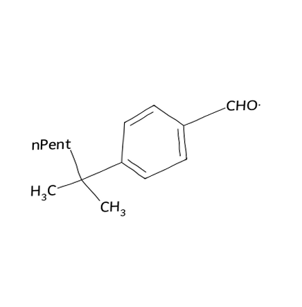 CCCCCC(C)(C)c1ccc([C]=O)cc1